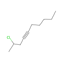 CCCCCC#CCC(C)Cl